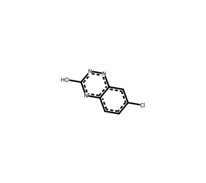 Oc1nnc2cc(Cl)ccc2n1